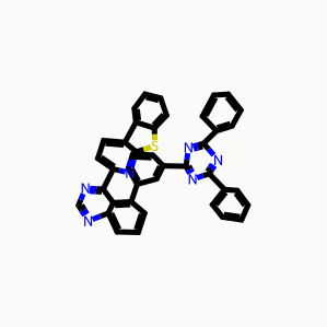 c1ccc(-c2nc(-c3ccccc3)nc(-c3cccc(-c4cccc5ncnc(-c6ccc7c(n6)sc6ccccc67)c45)c3)n2)cc1